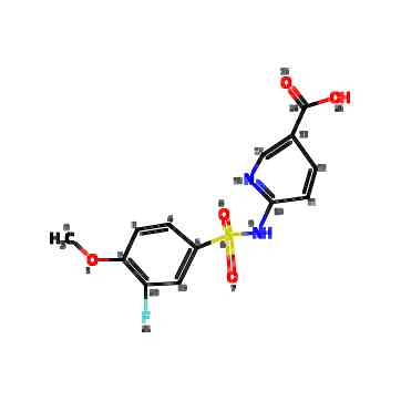 COc1ccc(S(=O)(=O)Nc2ccc(C(=O)O)cn2)cc1F